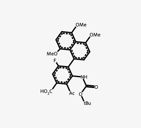 COc1ccc(OC)c2c(-c3c(F)cc(C(=O)O)c(C(C)=O)c3NC(=O)OC(C)(C)C)ccc(OC)c12